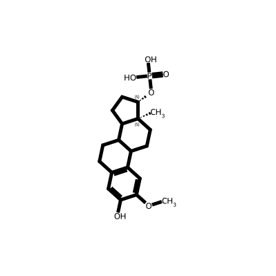 COc1cc2c(cc1O)CCC1C2CC[C@@]2(C)C1CC[C@@H]2OP(=O)(O)O